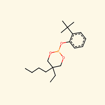 CCCCC1(CC)COP(Oc2ccccc2C(C)(C)C)OC1